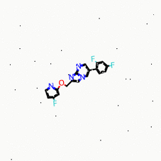 Fc1ccnc(OCc2cn3cc(-c4ccc(F)cc4F)cnc3n2)c1